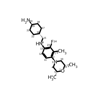 Cc1c(N2C[C@@H](C)O[C@@H](C)C2)ccc(NC[C@H]2CC[C@H](N)CC2)c1F